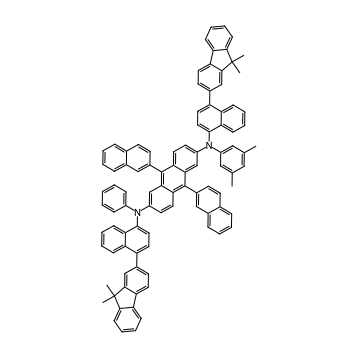 Cc1cc(C)cc(N(c2ccc3c(-c4ccc5ccccc5c4)c4cc(N(c5ccccc5)c5ccc(-c6ccc7c(c6)C(C)(C)c6ccccc6-7)c6ccccc56)ccc4c(-c4ccc5ccccc5c4)c3c2)c2ccc(-c3ccc4c(c3)C(C)(C)c3ccccc3-4)c3ccccc23)c1